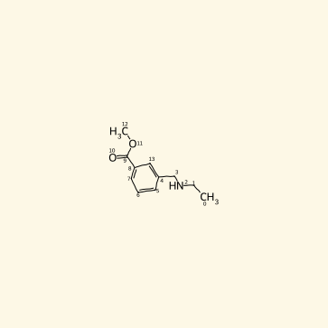 CCNCc1cccc(C(=O)OC)c1